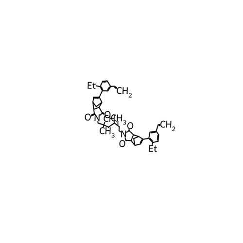 C=Cc1ccc(CC)c(C2=CC3CC2C2C(=O)N(CCC(C)CC(C)(C)CN4C(=O)C5C6C=C(c7cc(C=C)ccc7CC)C(C6)C5C4=O)C(=O)C32)c1